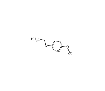 CCOc1ccc(OCC(=O)O)cc1